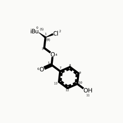 CC[C@H](C)[C@@H](Cl)COC(=O)c1ccc(O)cc1